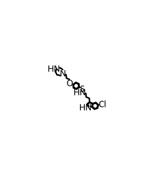 Clc1ccc2[nH]cc(CCCNSc3ccc(OCCCN4CCCNCC4)cc3)c2c1